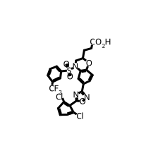 O=C(O)CCC1CN(S(=O)(=O)c2cccc(C(F)(F)F)c2)c2cc(-c3noc(-c4c(Cl)cccc4Cl)n3)ccc2O1